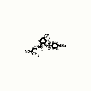 C=C(C#N)CCNC(=O)c1ccc(C(F)(F)F)cc1NS(=O)(=O)c1ccc(C(C)(C)C)cc1